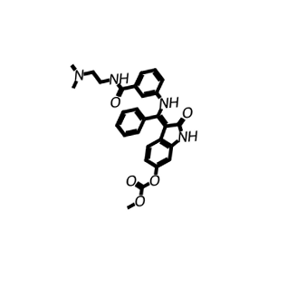 COC(=O)Oc1ccc2c(c1)NC(=O)/C2=C(\Nc1cccc(C(=O)NCCN(C)C)c1)c1ccccc1